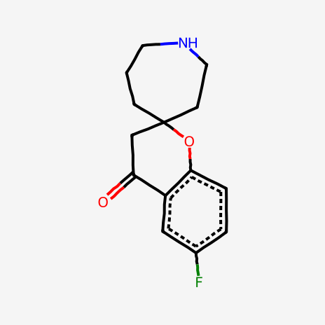 O=C1CC2(CCCNCC2)Oc2ccc(F)cc21